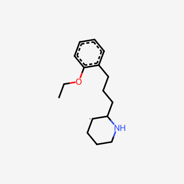 CCOc1ccccc1CCCC1[CH]CCCN1